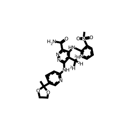 [2H]C([2H])([2H])c1c(Nc2ccc(C3(C)OCCO3)cn2)nnc(C(N)=O)c1Nc1ncccc1S(C)(=O)=O